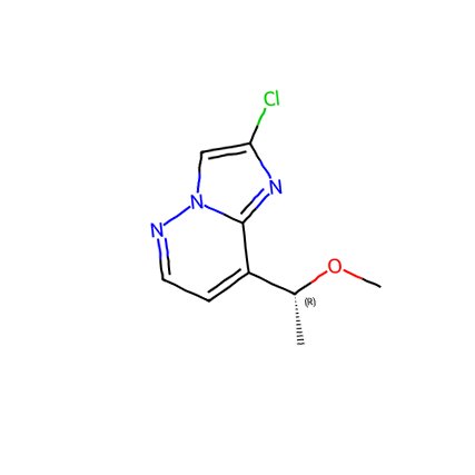 CO[C@H](C)c1ccnn2cc(Cl)nc12